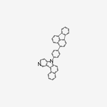 c1ccc2c(c1)-c1cccc3c(-c4ccc(-n5c6ccncc6c6c7ccccc7ccc65)cc4)ccc-2c13